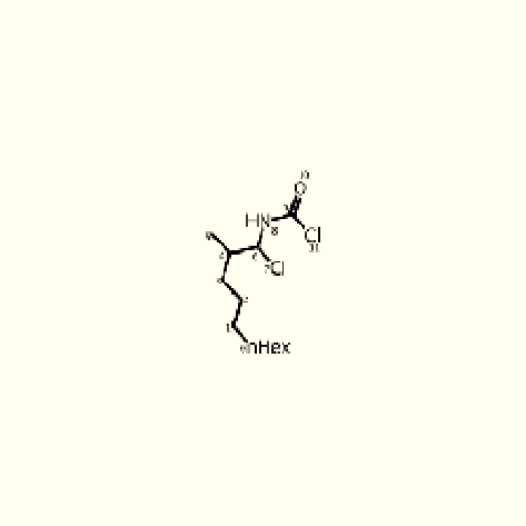 CCCCCCCCCC(C)C(Cl)NC(=O)Cl